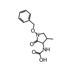 CC1CN(OCc2ccccc2)C(=O)C1NC(=O)O